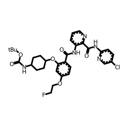 CC(C)(C)OC(=O)NC1CCC(Oc2cc(OCCF)ccc2C(=O)Nc2cccnc2C(=O)Nc2ccc(Cl)cn2)CC1